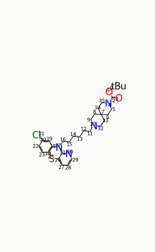 CC(C)(C)OC(=O)N1CCC2(CCN(CCCCCCN3c4cc(Cl)ccc4Sc4cccnc43)CC2)CC1